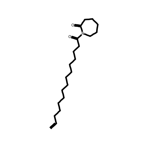 C=CCCCCCCCCCCCCC(=O)N1CCCCCC1=O